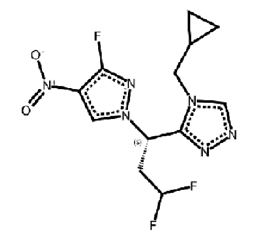 O=[N+]([O-])c1cn([C@@H](CC(F)F)c2nncn2CC2CC2)nc1F